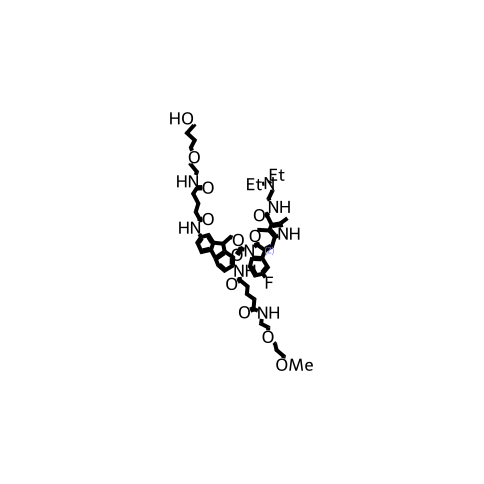 CCN(CC)CCNC(=O)c1c(C)[nH]c(/C=C2\C(=O)N(C(=O)OCC3c4cc(NC(=O)CCCC(=O)NCCOCCCCO)ccc4-c4ccc(NC(=O)CCCC(=O)NCCOCCCOC)cc43)c3ccc(F)cc32)c1C